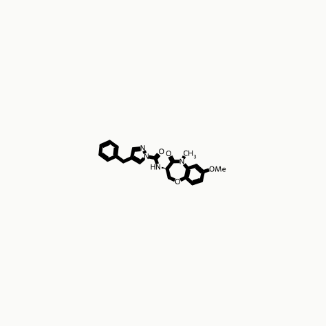 COc1ccc2c(c1)N(C)C(=O)[C@@H](NC(=O)n1cc(Cc3ccccc3)cn1)CO2